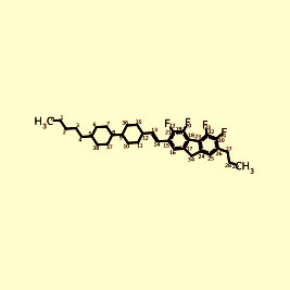 CCCCCC1CCC(C2CCC(/C=C/c3cc4c(c(F)c3F)-c3c(cc(CCC)c(F)c3F)C4)CC2)CC1